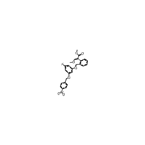 CO/C=C(/C(=O)OC)c1ccccc1COc1cc(F)cc(OCc2ccc([N+](=O)[O-])cc2)c1